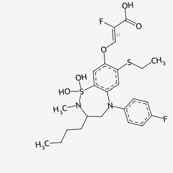 CCCCC1CN(c2ccc(F)cc2)c2cc(SCC)c(O/C=C(\F)C(=O)O)cc2S(O)(O)N1C